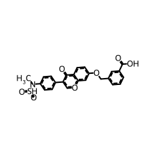 CN(c1ccc(-c2coc3cc(OCc4cccc(C(=O)O)c4)ccc3c2=O)cc1)[SH](=O)=O